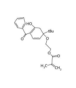 C=C(C)C(=O)OCCOC1(C(C)(C)C)C=CC(C(=O)c2ccccc2)=C(O)C1